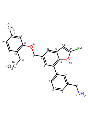 NCc1cccc(-c2cc(COc3cc(C(F)(F)F)ccc3CC(=O)O)cc3cc(F)oc23)c1